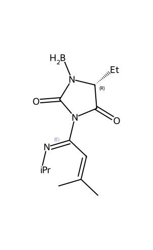 BN1C(=O)N(/C(C=C(C)C)=N/C(C)C)C(=O)[C@H]1CC